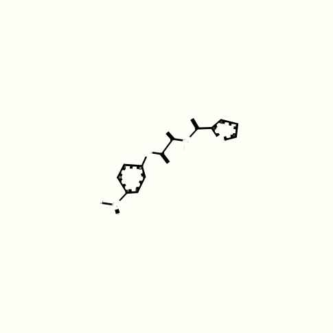 O=C(NC(=O)c1ccco1)C(=O)Oc1ccc([N+](=O)[O-])cc1